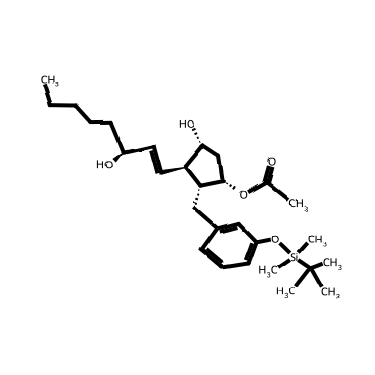 CCCCC[C@H](O)C=C[C@@H]1[C@@H](Cc2cccc(O[Si](C)(C)C(C)(C)C)c2)[C@@H](OC(C)=O)C[C@H]1O